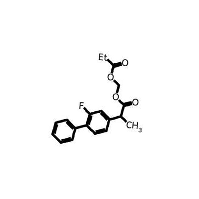 CCC(=O)OCOC(=O)C(C)c1ccc(-c2ccccc2)c(F)c1